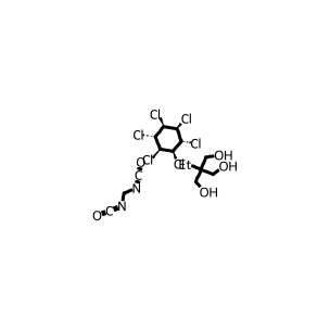 CCC(CO)(CO)CO.Cl[C@H]1[C@H](Cl)[C@@H](Cl)[C@@H](Cl)[C@H](Cl)[C@H]1Cl.O=C=NCN=C=O